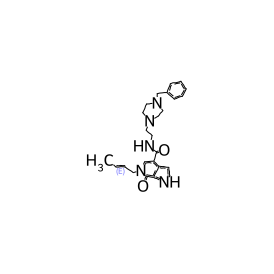 C/C=C/Cn1cc(C(=O)NCCN2CCN(Cc3ccccc3)CC2)c2cc[nH]c2c1=O